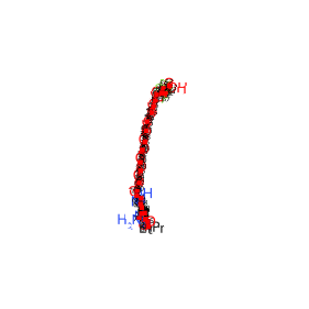 CCCN(OCC)C(=O)C1=Cc2ccc(-c3cnc(CNC(=O)CCOCCOCCOCCOCCOCCOCCOCCOCCOCCOCCC(=O)Oc4c(F)c(F)c(S(=O)O)c(F)c4F)nc3)cc2N=C(N)C1